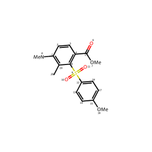 CNc1ccc(C(=O)OC)c(S(=O)(=O)c2ccc(OC)cc2)c1C